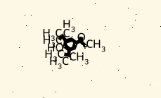 C[CH]C(=O)c1cc(C(C)(C)C)c(O)c(C(C)(C)C)c1